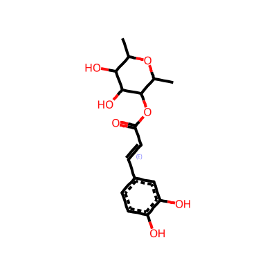 CC1OC(C)C(OC(=O)/C=C/c2ccc(O)c(O)c2)C(O)C1O